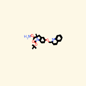 CC(ON)C1(C)Cc2cc(OCc3ccc4ccccc4n3)ccc2N1C(=O)OC(C)(C)C